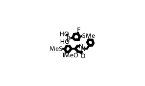 COc1c(-c2ccc(SC)c(F)c2)cnn(Cc2ccccc2)c1=O.CSc1ccc(B(O)O)cc1F